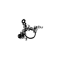 CC(C)(C)OC(=O)N[C@H]1COCCCCCCCC[C@H](B2OC3CC4CC(C3O2)C4(C)C)NC(=O)[C@@H]2C[C@@H](OC(=O)N3Cc4ccccc4C3)CN2C1=O